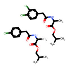 CC(C)COC(=O)C(C)NC(=O)Cc1ccc(Cl)c(Cl)c1.CC(C)COC(=O)C(C)NC(=O)Cc1ccc(Cl)cc1